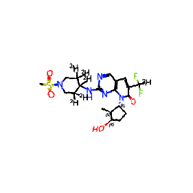 [2H]C(F)(F)c1cc2cnc(NC3([2H])C([2H])([2H])CN(S(C)(=O)=O)CC3([2H])[2H])nc2n([C@@H]2CC[C@@H](O)[C@H]2C)c1=O